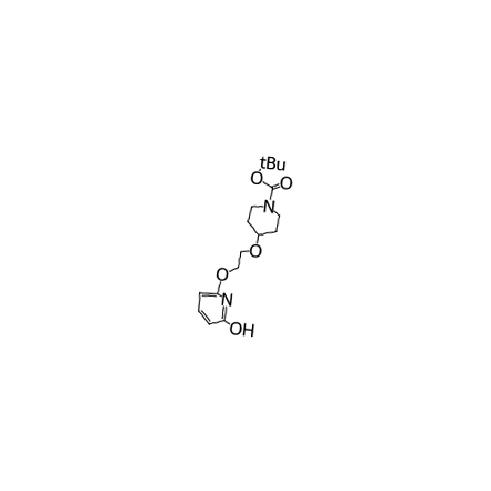 CC(C)(C)OC(=O)N1CCC(OCCOc2cccc(O)n2)CC1